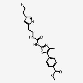 COC(=O)c1ccc(-c2sc(NC(=O)NCCc3cn(CCF)cn3)nc2C)cc1